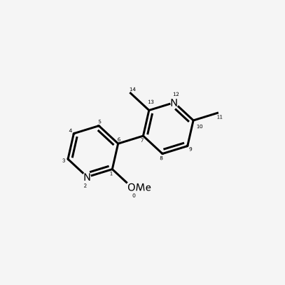 COc1ncccc1-c1ccc(C)nc1C